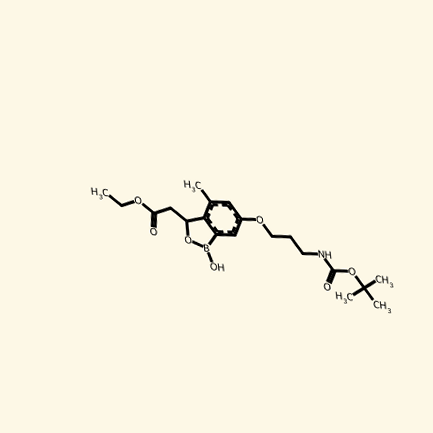 CCOC(=O)CC1OB(O)c2cc(OCCCNC(=O)OC(C)(C)C)cc(C)c21